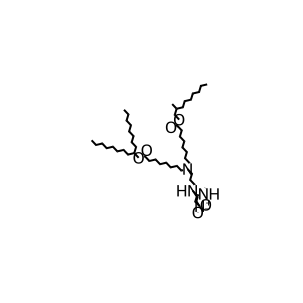 CCCCCCCCC(CCCCCCCC)OC(=O)CCCCCCCN(CCCCCCCC(=O)OCC(C)CCCCCCC)CCCN/C(=C/[N+](=O)[O-])NC